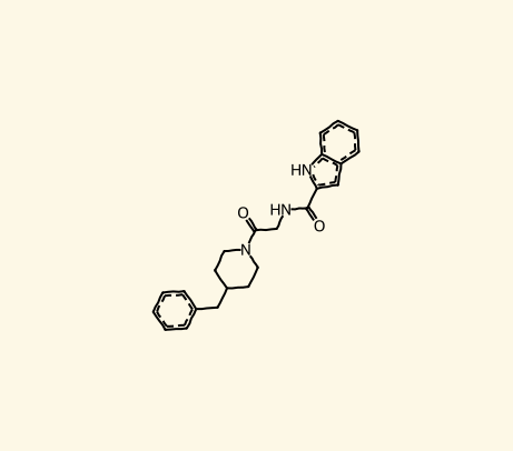 O=C(NCC(=O)N1CCC(Cc2ccccc2)CC1)c1cc2ccccc2[nH]1